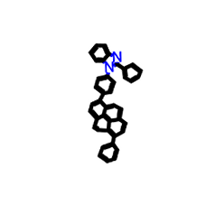 c1ccc(-c2ccc3ccc4c(-c5ccc(-n6c(-c7ccccc7)nc7ccccc76)cc5)ccc5ccc2c3c54)cc1